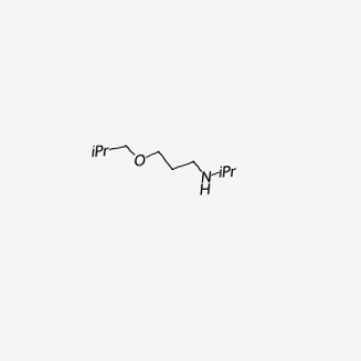 CC(C)COCCCNC(C)C